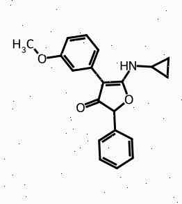 COc1cccc(C2=C(NC3CC3)OC(c3ccccc3)C2=O)c1